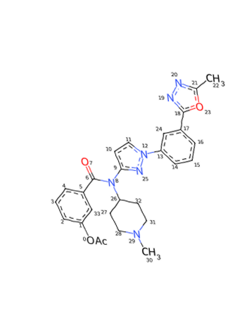 CC(=O)Oc1cccc(C(=O)N(c2ccn(-c3cccc(-c4nnc(C)o4)c3)n2)C2CCN(C)CC2)c1